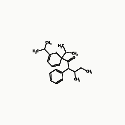 CCC(C)C(C(=O)C1(C(C)C)[CH]C(C(C)C)=CC=C1)c1ccccc1